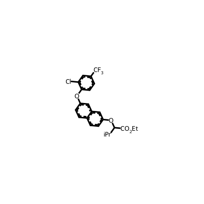 CCOC(=O)C(Oc1ccc2ccc(Oc3ccc(C(F)(F)F)cc3Cl)cc2c1)C(C)C